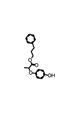 CC(Oc1ccc(O)cc1)C(=O)OCCCc1ccccc1